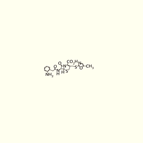 Cc1cnc(SCC2=C(C(=O)O)N3C(=O)C(NC(=O)Cc4ccccc4N)[C@H]3SC2)o1